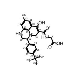 O=C(O)CNC(=O)C1=C(O)c2cc(F)cc3c2N(C1)C(c1ccc(C(F)(F)F)cc1)CN3